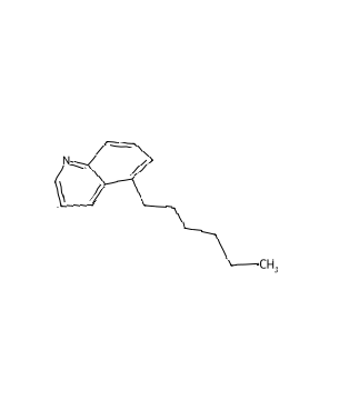 CCCCCCc1cccc2nc[c]cc12